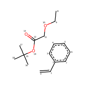 C=Cc1ccccc1.CCOCC(=O)OC(C)(C)C